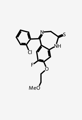 COCCOc1cc2c(cc1F)C(c1ccccc1Cl)=NCC(=S)N2